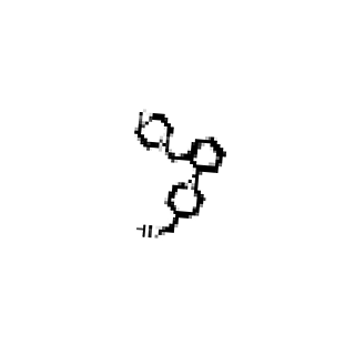 OCC1CCN(c2ccccc2CN2CCOCC2)CC1